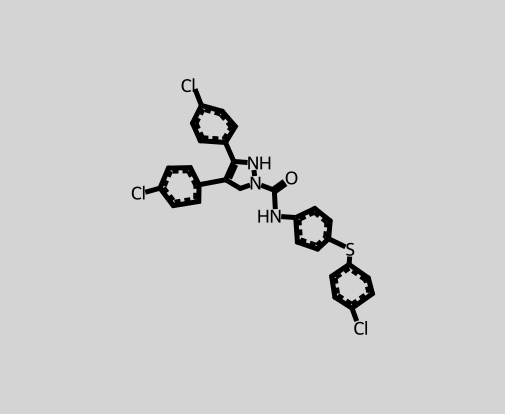 O=C(Nc1ccc(Sc2ccc(Cl)cc2)cc1)N1CC(c2ccc(Cl)cc2)=C(c2ccc(Cl)cc2)N1